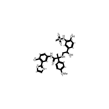 COc1ccc(C(C)(NCC(O)c2ccc(O)c(NS(C)(=O)=O)c2)C(=O)Nc2ccc(Cl)c(-c3ncco3)c2)cc1